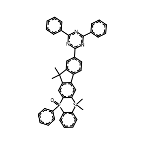 CC1(C)c2cc(-c3nc(-c4ccccc4)nc(-c4ccccc4)n3)ccc2-c2cc3c(cc21)P(=O)(c1ccccc1)c1ccccc1[Si]3(C)C